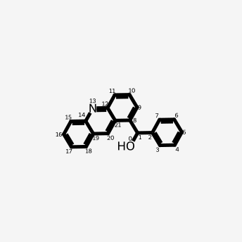 OC(c1ccccc1)c1cccc2nc3ccccc3cc12